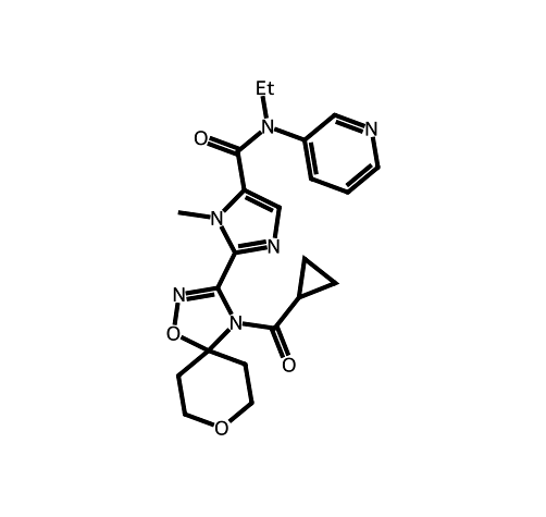 CCN(C(=O)c1cnc(C2=NOC3(CCOCC3)N2C(=O)C2CC2)n1C)c1cccnc1